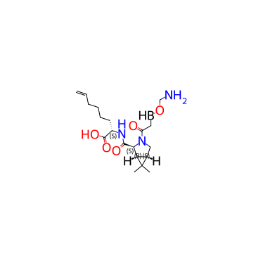 C=CCCCC[C@H](NC(=O)[C@@H]1[C@@H]2[C@H](CN1C(=O)CBOCN)C2(C)C)C(=O)O